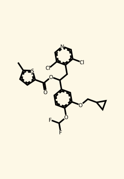 Cc1ccc(C(=O)OC(Cc2c(Cl)cncc2Cl)c2ccc(OC(F)F)c(OCC3CC3)c2)s1